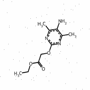 CCOC(=O)COc1nc(C)c(N)c(C)n1